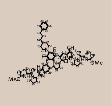 C=C(/C(F)=C\c1[nH]c([C@@H]2CCCN2C(=O)[C@@H](NC(=O)OC)C(C)C)nc1C)[C@H]1CC[C@H](c2cc3nc([C@@H]4CCCN4C(=O)[C@@H](NC(=O)OC)C(C)C)[nH]c3cc2F)N1c1cc(F)c(N2CCC(CCCc3ccccc3)CC2)c(F)c1